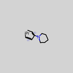 C/C=C(\C=C/C(C)C)N1CCCCC1